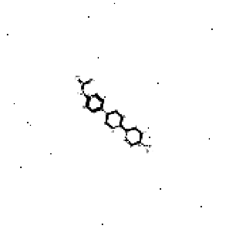 FC(F)Oc1ccc([C@H]2CC[C@H]([C@H]3CC[C@H](C(F)(F)F)CC3)CC2)cc1